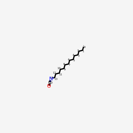 [CH2]CCCCCCCCCCCCCN=C=O